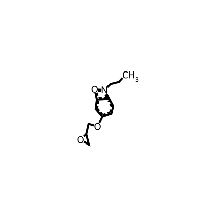 CCCn1oc2cc(OCC3CO3)ccc21